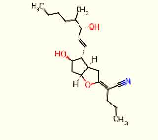 CCCCC(C)[C@H](O)/C=C/[C@@H]1[C@H]2C/C(=C(\C#N)CCC)O[C@H]2C[C@H]1O